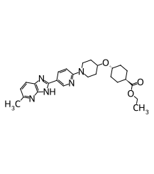 CCOC(=O)[C@H]1CC[C@H](OC2CCN(c3ccc(-c4nc5ccc(C)nc5[nH]4)cn3)CC2)CC1